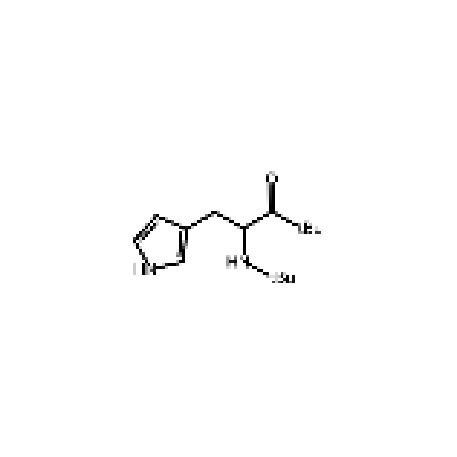 CC(C)(C)NC(Cc1cc[nH]c1)C(=O)C(C)(C)C